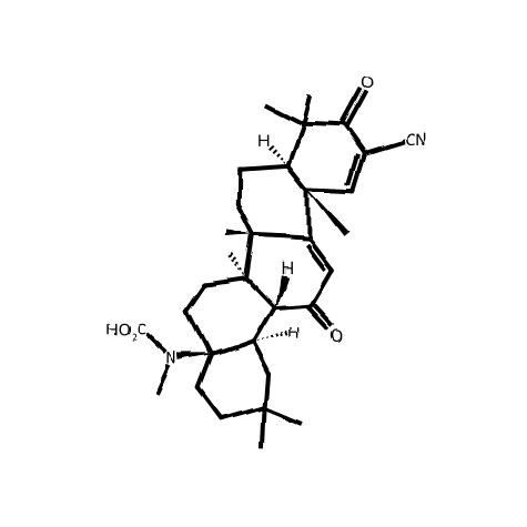 CN(C(=O)O)[C@]12CCC(C)(C)C[C@@H]1[C@H]1C(=O)C=C3[C@@]4(C)C=C(C#N)C(=O)C(C)(C)[C@@H]4CC[C@@]3(C)[C@]1(C)CC2